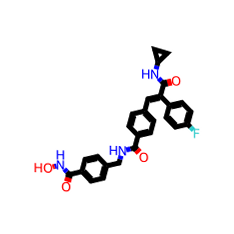 O=C(NC1CC1)/C(=C/c1ccc(C(=O)NCc2ccc(C(=O)NO)cc2)cc1)c1ccc(F)cc1